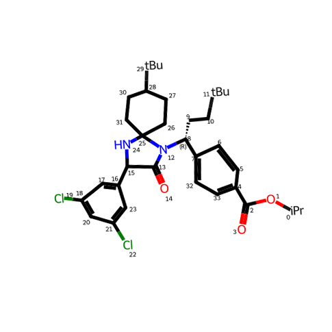 CC(C)OC(=O)c1ccc([C@@H](CCC(C)(C)C)N2C(=O)C(c3cc(Cl)cc(Cl)c3)NC23CCC(C(C)(C)C)CC3)cc1